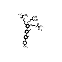 C=C(C)C(=O)OCCCc1cc(-c2ccc(-c3ccc(C4CCC(C)CC4)cc3F)cc2F)cc(CCCOC(=O)C(=C)C)c1OCCC(CO)CO